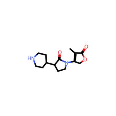 CC1=C(N2CCC(C3CCNCC3)C2=O)COC1=O